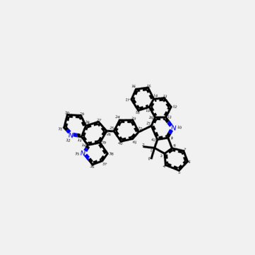 CC1(C)c2ccccc2-c2nc3ccc4ccccc4c3c(-c3ccc(-c4cc5cccnc5c5ncccc45)cc3)c21